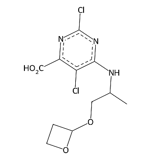 CC(COC1CCO1)Nc1nc(Cl)nc(C(=O)O)c1Cl